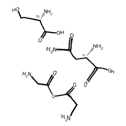 NC(=O)C[C@H](N)C(=O)O.NCC(=O)OC(=O)CN.N[C@@H](CO)C(=O)O